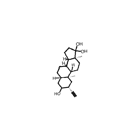 C#C[C@H]1C[C@@]2(C)[C@@H](CC[C@@H]3[C@@H]2CC[C@@]2(C)[C@H]3CCC2(O)O)CC1O